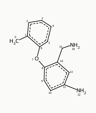 Cc1ccccc1Oc1ccc(N)cc1CN